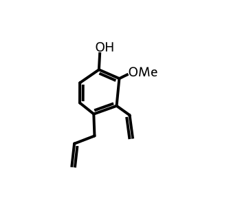 C=CCc1ccc(O)c(OC)c1C=C